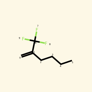 C=C(CCCC)C(F)(F)F